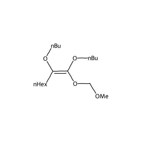 CCCCCCC(OCCCC)=C(OCCCC)OCOC